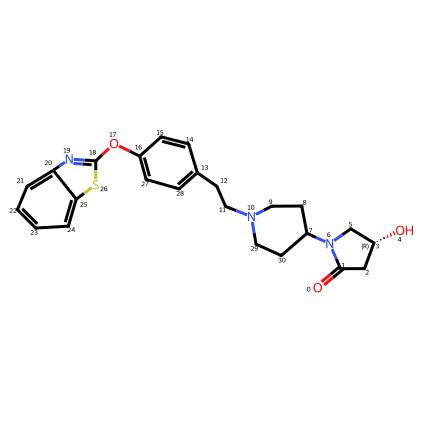 O=C1C[C@@H](O)CN1C1CCN(CCc2ccc(Oc3nc4ccccc4s3)cc2)CC1